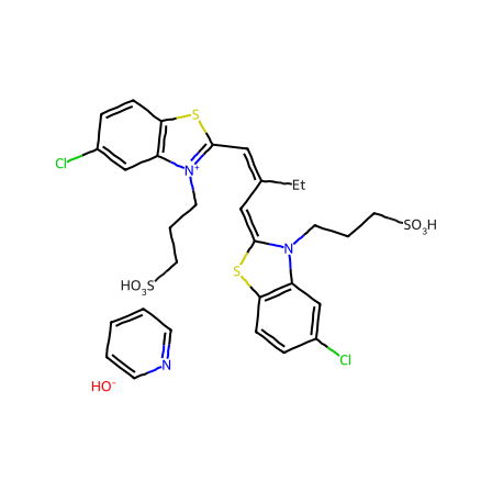 CCC(=Cc1sc2ccc(Cl)cc2[n+]1CCCS(=O)(=O)O)C=C1Sc2ccc(Cl)cc2N1CCCS(=O)(=O)O.[OH-].c1ccncc1